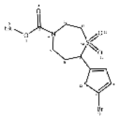 CC(C)(C)OC(=O)N1CCC(c2ccc(Br)s2)S(=O)(=O)CC1